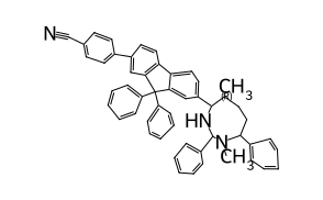 C[C@@H]1CCC(c2ccccc2)N(C)C(c2ccccc2)NC1c1ccc2c(c1)C(c1ccccc1)(c1ccccc1)c1cc(-c3ccc(C#N)cc3)ccc1-2